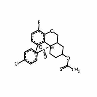 CC(=S)OC1CC[C@@]2(S(=O)(=O)c3ccc(Cl)cc3)c3c(F)ccc(F)c3OCC2C1